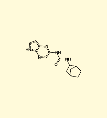 O=C(Nc1cnc2[nH]ccc2n1)NC1CC2CCC1C2